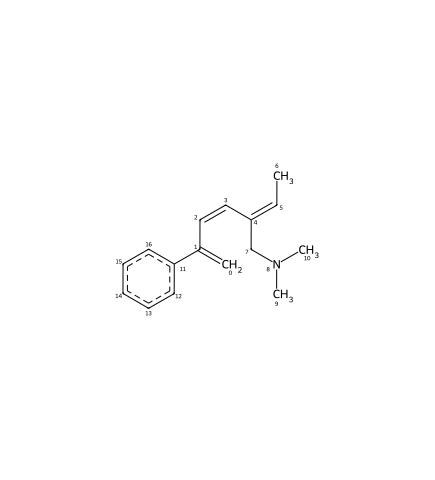 C=C(/C=C\C(=C/C)CN(C)C)c1ccccc1